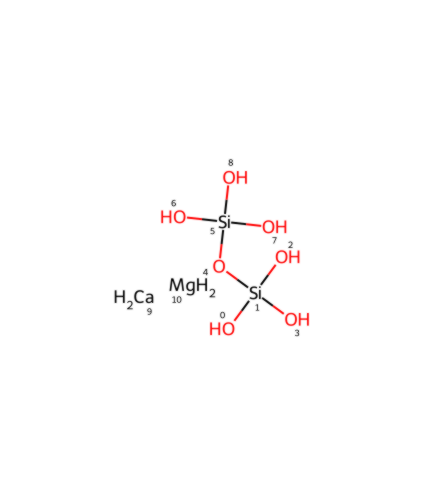 O[Si](O)(O)O[Si](O)(O)O.[CaH2].[MgH2]